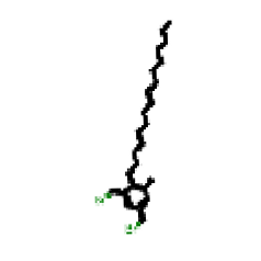 CCCCCCCCCCCCCCCCc1c(C)cc(CBr)cc1CBr